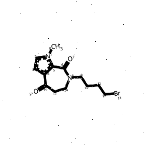 Cn1ccc2c1C(=O)N(CCCCBr)CCC2=O